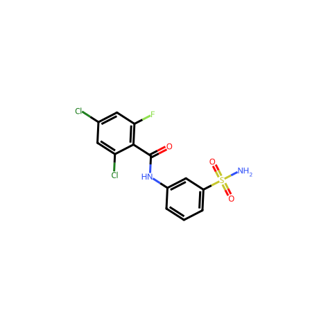 NS(=O)(=O)c1cccc(NC(=O)c2c(F)cc(Cl)cc2Cl)c1